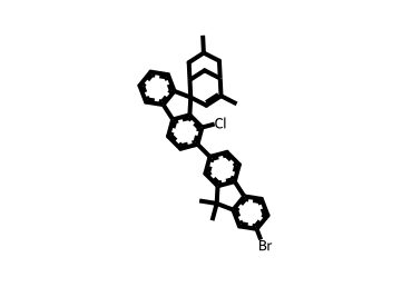 CC1=CC2(c3ccccc3-c3ccc(-c4ccc5c(c4)C(C)(C)c4cc(Br)ccc4-5)c(Cl)c32)C2CC(C)CC1C2